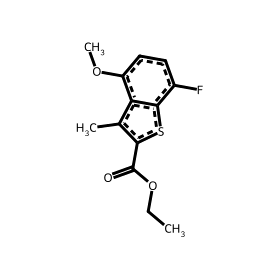 CCOC(=O)c1sc2c(F)ccc(OC)c2c1C